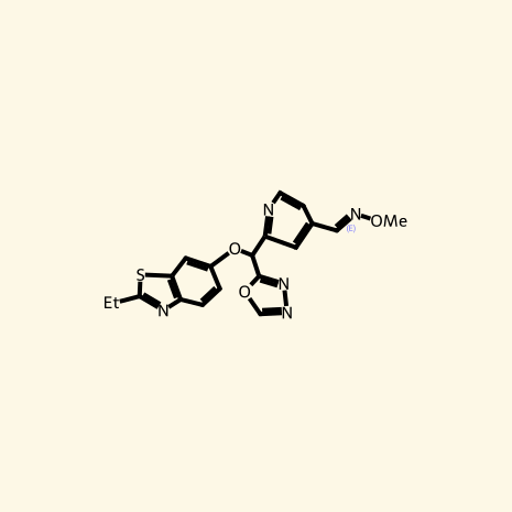 CCc1nc2ccc(OC(c3cc(/C=N/OC)ccn3)c3nnco3)cc2s1